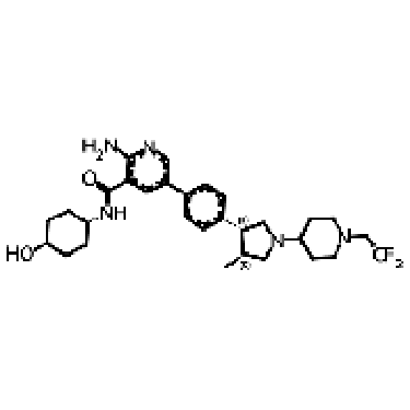 C[C@@H]1CN(C2CCN(CC(F)(F)F)CC2)C[C@H]1c1ccc(-c2cnc(N)c(C(=O)N[C@H]3CC[C@H](O)CC3)c2)cc1